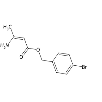 C/C(N)=C/C(=O)OCc1ccc(Br)cc1